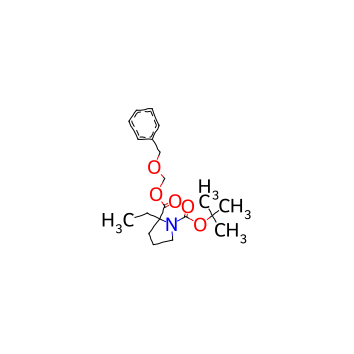 CCC1(C(=O)OCOCc2ccccc2)CCCN1C(=O)OC(C)(C)C